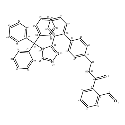 O=Cc1ccccc1C(=O)NCc1ccc(-c2ccccc2-c2nnnn2C(c2ccccc2)(c2ccccc2)c2ccccc2)cc1